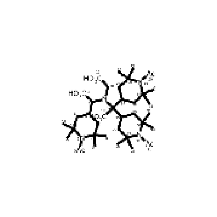 CC(=O)N1C(C)(C)CC(C(C(=O)O)N(CC(=O)O)C(C(=O)O)(C2CC(C)(C)N(C(C)=O)C(C)(C)C2)C2CC(C)(C)N(C(C)=O)C(C)(C)C2)CC1(C)C